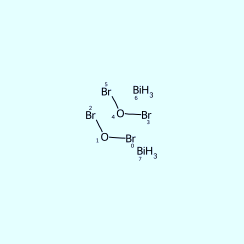 BrOBr.BrOBr.[BiH3].[BiH3]